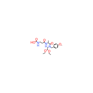 CCOC(CN(Cc1ccc(OC)cc1)C(=O)C(C)NC(=O)CCNC(=O)O)OCC